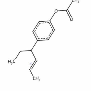 C/C=C/C(CC)c1ccc(OC(C)=O)cc1